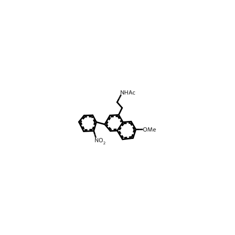 COc1ccc2cc(-c3ccccc3[N+](=O)[O-])cc(CCNC(C)=O)c2c1